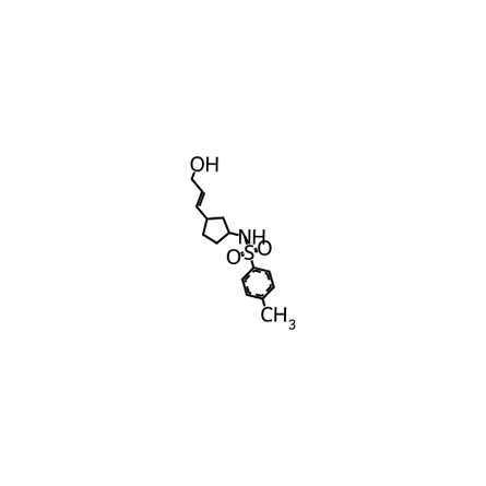 Cc1ccc(S(=O)(=O)NC2CCC(C=CCO)C2)cc1